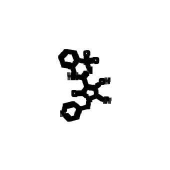 CC(C)C1C(O)=C(C2=NS(=O)(=O)c3ccccc3N2)C(=O)N1Cc1ccncc1